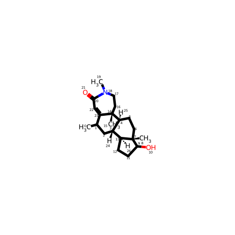 CC1C[C@@H]2[C@H](CC[C@]3(C)C(O)CC[C@@H]23)[C@@]2(C)CCN(C)C(=O)C=C12